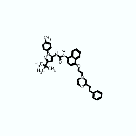 Cc1ccc(-n2nc(C(C)(C)C)cc2NC(=O)Nc2ccc(OCCN3CCOC(CCc4ccccc4)C3)c3ccccc23)cc1